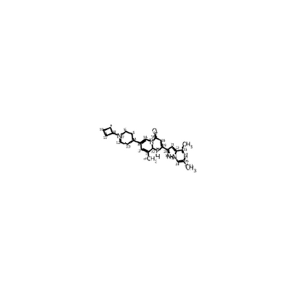 CC1=CC(C2CCN(C3CCC3)CC2)=CN2C(=O)C=C(c3cc4c(C)nc(C)cn4n3)PC12